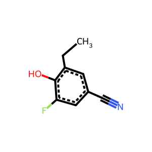 CCc1cc(C#N)cc(F)c1O